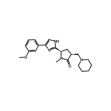 COc1cccc(-c2c[nH]c([C@H]3C[C@@H](CN4CCCCC4)C(=O)N3C)n2)c1